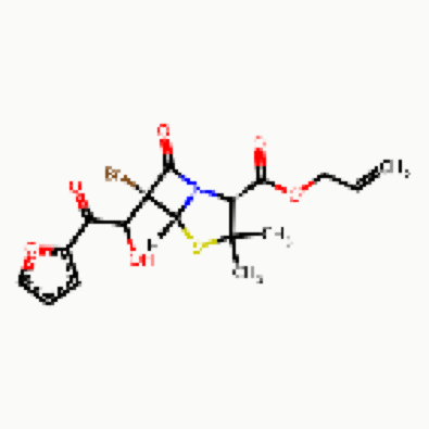 C=CCOC(=O)[C@@H]1N2C(=O)[C@@](Br)(C(O)C(=O)c3ccco3)[C@H]2SC1(C)C